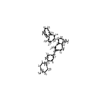 CN1CCN(c2ccc(-c3cnc4[nH]cc(-c5ccn6nccc6c5)c4c3)cn2)CC1